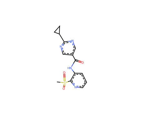 CS(=O)(=O)c1ncccc1NC(=O)c1cnc(C2CC2)nc1